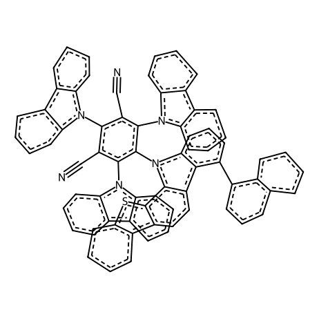 N#Cc1c(-n2c3ccccc3c3ccccc32)c(C#N)c(-n2c3ccccc3c3ccccc32)c(-n2c3cccc(-c4cccc5ccccc45)c3c3ccc4c5ccccc5sc4c32)c1-n1c2ccccc2c2ccccc21